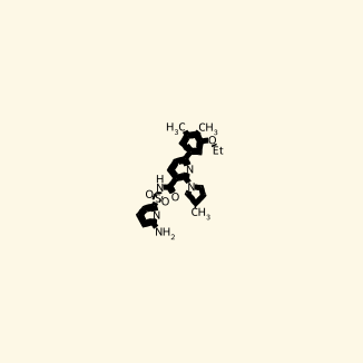 CCOc1cc(-c2ccc(C(=O)NS(=O)(=O)c3cccc(N)n3)c(N3CC[C@H](C)C3)n2)cc(C)c1C